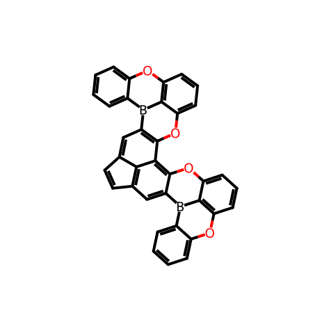 C1=Cc2cc3c(c4c5c(cc1c24)B1c2ccccc2Oc2cccc(c21)O5)Oc1cccc2c1B3c1ccccc1O2